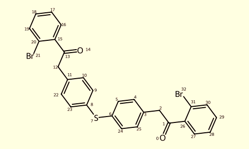 O=C(Cc1ccc(Sc2ccc(CC(=O)c3ccccc3Br)cc2)cc1)c1ccccc1Br